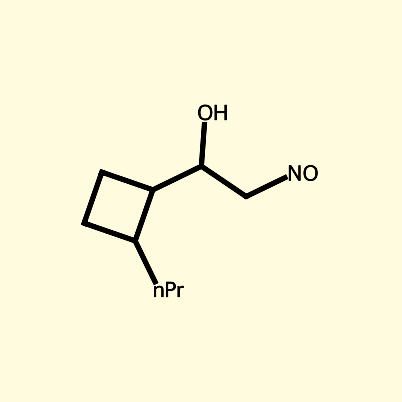 CCCC1CCC1C(O)CN=O